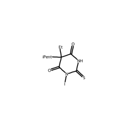 CCCC(C)C1(CC)C(=O)NC(=S)N(I)C1=O